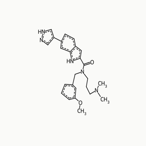 COc1cccc(CN(CCCN(C)C)C(=O)c2cc3ccc(-c4cn[nH]c4)cc3[nH]2)c1